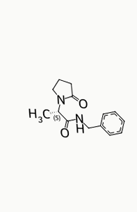 C[C@@H](C(=O)NCc1ccccc1)N1CCCC1=O